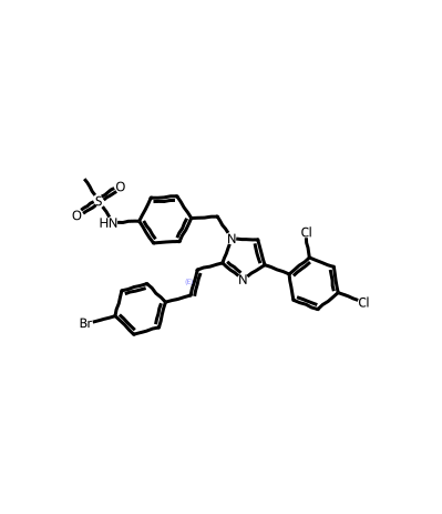 CS(=O)(=O)Nc1ccc(Cn2cc(-c3ccc(Cl)cc3Cl)nc2/C=C/c2ccc(Br)cc2)cc1